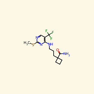 CSc1ncc(C(F)(F)F)c(NCCCC2(C(N)=O)CCC2)n1